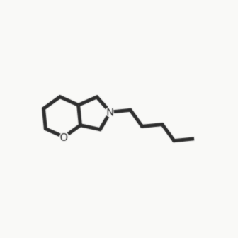 CCCCCN1CC2CCCOC2C1